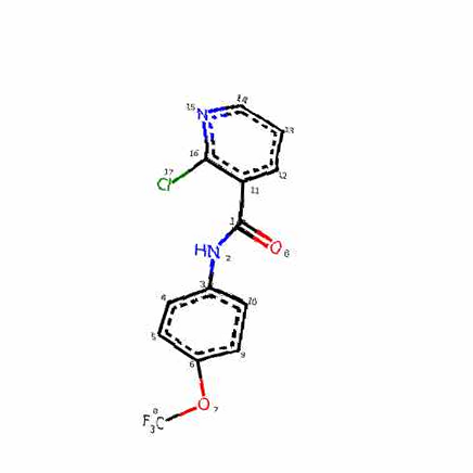 O=C(Nc1ccc(OC(F)(F)F)cc1)c1cccnc1Cl